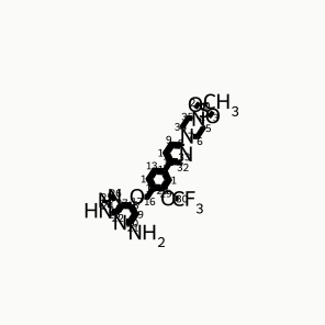 CS(=O)(=O)N1CCN(c2ccc(-c3ccc(COc4cc(N)nc5[nH]nnc45)c(OC(F)(F)F)c3)cn2)CC1